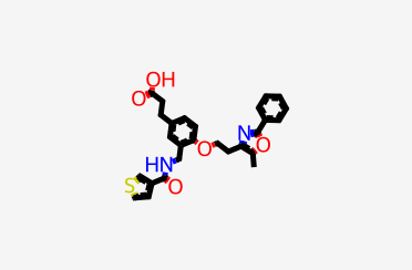 Cc1oc(-c2ccccc2)nc1CCOc1ccc(CCC(=O)O)cc1CNC(=O)c1ccsc1